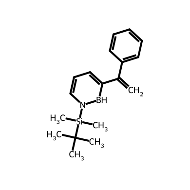 C=C(C1=CC=CN([Si](C)(C)C(C)(C)C)B1)c1ccccc1